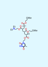 CCC(CC(CC(CC(C)(C)C(=O)OCCOC)C(=O)OCCN(CC)CC)C(=O)OCCOC)C(=O)OCCn1cc(C)c(=O)[nH]c1=O